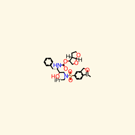 CB1OCc2cc(S(=O)(=O)N(CC(C)C)C[C@@H](O)[C@H](Cc3ccccc3)NC(=O)OC3CO[C@H]4OCC[C@@H]34)ccc21